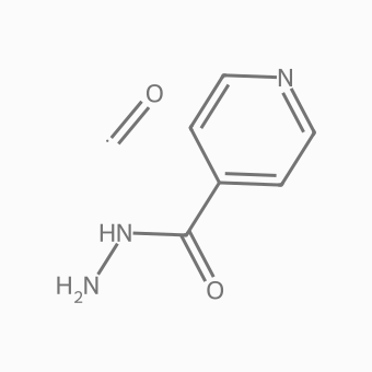 NNC(=O)c1ccncc1.[CH]=O